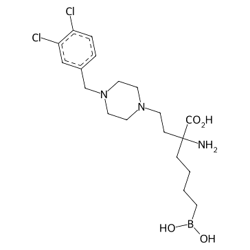 NC(CCCCB(O)O)(CCN1CCN(Cc2ccc(Cl)c(Cl)c2)CC1)C(=O)O